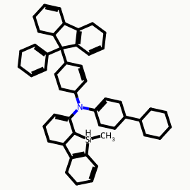 C[SiH]1C2=C(CCC=C2)C2CCC=C(N(C3=CCC(C4CCCCC4)CC3)C3C=CC(C4(C5=CCCC=C5)C5=C(CCC=C5)C5C=CCCC54)CC3)C21